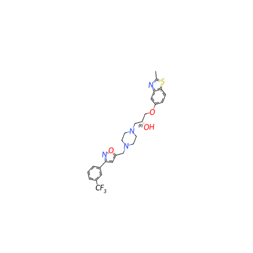 Cc1nc2cc(OC[C@H](O)CN3CCN(Cc4cc(-c5cccc(C(F)(F)F)c5)no4)CC3)ccc2s1